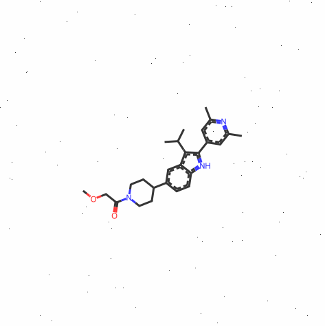 COCC(=O)N1CCC(c2ccc3[nH]c(-c4cc(C)nc(C)c4)c(C(C)C)c3c2)CC1